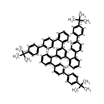 CC(C)(C)c1ccc(-c2ccc(-c3ccccc3-c3cc(-c4ccccc4-c4ccc(-c5ccc(C(C)(C)C)cc5)nc4)cc(-c4ccccc4-c4ccc(-c5ccc(C(C)(C)C)cc5)nc4)c3)cn2)cc1